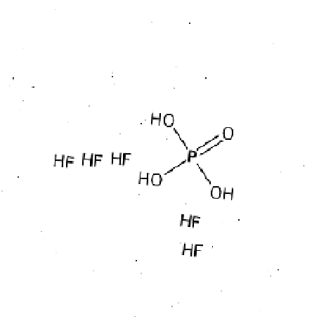 F.F.F.F.F.O=P(O)(O)O